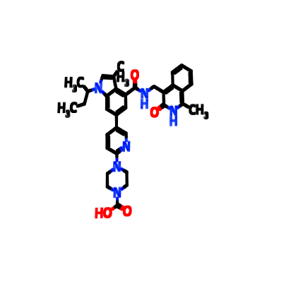 CCC(C)n1cc(C)c2c(C(=O)NCc3c(=O)[nH]c(C)c4ccccc34)cc(-c3ccc(N4CCN(C(=O)O)CC4)nc3)cc21